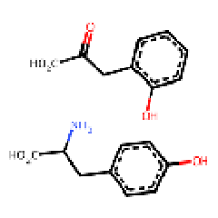 NC(Cc1ccc(O)cc1)C(=O)O.O=C(O)C(=O)Cc1ccccc1O